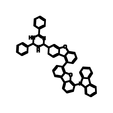 C1=c2oc3cccc(-c4cccc5c4oc4c(-n6c7ccccc7c7ccccc76)cccc45)c3c2=CCC1C1N=C(c2ccccc2)NC(c2ccccc2)N1